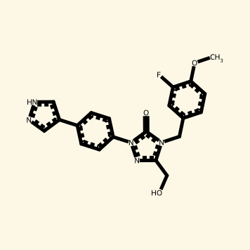 COc1ccc(Cn2c(CO)nn(-c3ccc(-c4cn[nH]c4)cc3)c2=O)cc1F